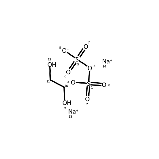 O=S(=O)([O-])OS(=O)(=O)[O-].OCCO.[Na+].[Na+]